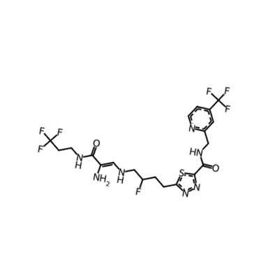 N/C(=C\NCC(F)CCc1nnc(C(=O)NCc2cc(C(F)(F)F)ccn2)s1)C(=O)NCCC(F)(F)F